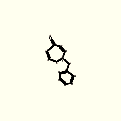 O=C1C=CCN(Cc2ccccc2)C=C1